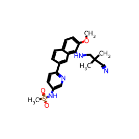 COc1ccc2ccc(-c3ccc(NS(C)(=O)=O)cn3)cc2c1NCC(C)(C)C#N